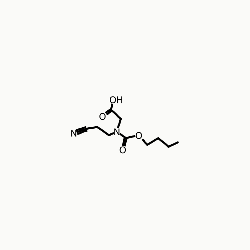 CCCCOC(=O)N(CCC#N)CC(=O)O